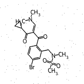 CN(C)C=C(C(=O)c1ccc(Br)cc1CN(C)S(C)(=O)=O)C(=O)C1CC1